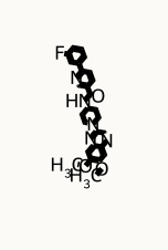 COc1cc2ncc(N3CCC(NC(=O)c4ccc(-c5cccc(F)c5)nc4)CC3)nc2cc1OC